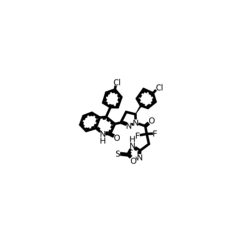 O=C(N1N=C(c2c(-c3ccc(Cl)cc3)c3ccccc3[nH]c2=O)C[C@H]1c1ccc(Cl)cc1)C(F)(F)Cc1noc(=S)[nH]1